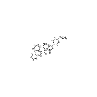 COc1ccc(-c2c[nH]c(C(C(=O)OCc3ccccc3)[C@H](N)c3ccccc3)n2)cc1